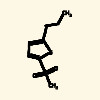 CC[CH]c1ccc(S(C)(=O)=O)s1